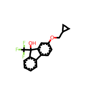 OC1(C(F)(F)F)c2ccccc2-c2ccc(OCC3CC3)cc21